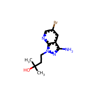 CC(C)(O)CCn1nc(N)c2cc(Br)cnc21